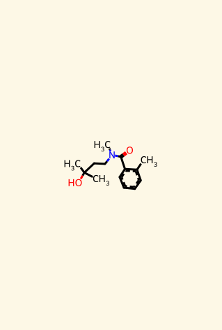 Cc1ccccc1C(=O)N(C)CCC(C)(C)O